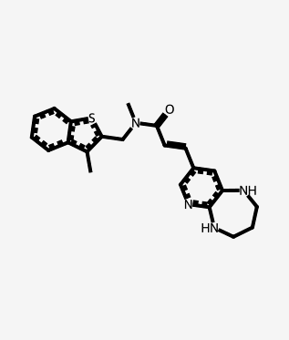 Cc1c(CN(C)C(=O)/C=C/c2cnc3c(c2)NCCCN3)sc2ccccc12